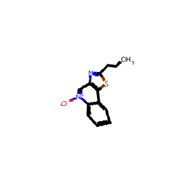 CCCc1nc2c[n+]([O-])c3ccccc3c2s1